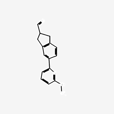 CNc1cccc(-c2ccc3c(c2)CC(C=O)C3)n1